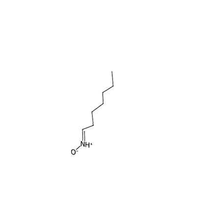 CCCCCCC=[NH+][O-]